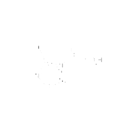 CCc1nccn1BC(=O)O